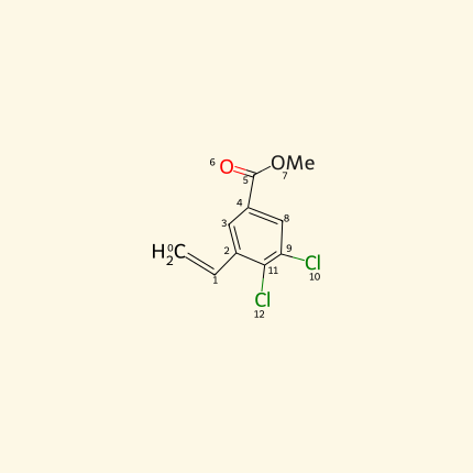 C=Cc1cc(C(=O)OC)cc(Cl)c1Cl